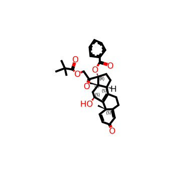 CC(C)(C)C(=O)OCC(=O)[C@@]1(OC(=O)c2ccccc2)CC[C@H]2C3=C([C@@H](O)C[C@@]21C)[C@@]1(C)C=CC(=O)C=C1CC3